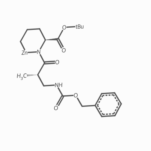 C[C@@H](CNC(=O)OCc1ccccc1)C(=O)[N]1[Zn][CH2]CC[C@H]1C(=O)OC(C)(C)C